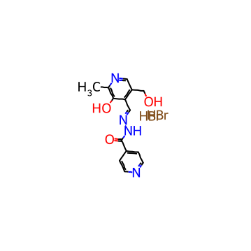 Br.Br.Cc1ncc(CO)c(C=NNC(=O)c2ccncc2)c1O